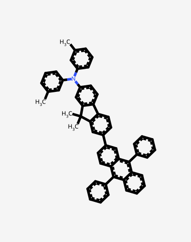 Cc1cccc(N(c2cccc(C)c2)c2ccc3c(c2)C(C)(C)c2cc(-c4ccc5c(-c6ccccc6)c6ccccc6c(-c6ccccc6)c5c4)ccc2-3)c1